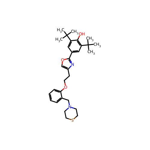 CC(C)(C)c1cc(-c2nc(CCOc3ccccc3CN3CCSCC3)co2)cc(C(C)(C)C)c1O